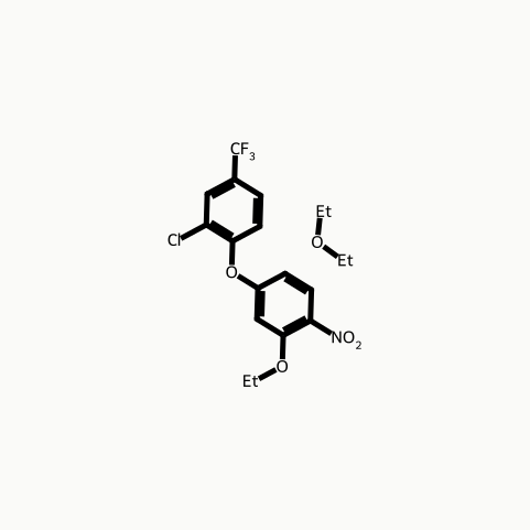 CCOCC.CCOc1cc(Oc2ccc(C(F)(F)F)cc2Cl)ccc1[N+](=O)[O-]